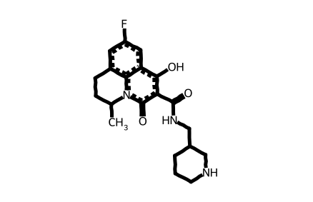 CC1CCc2cc(F)cc3c(O)c(C(=O)NCC4CCCNC4)c(=O)n1c23